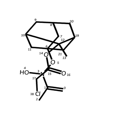 C=C(C)N(O)OC12CC3CC(C1)C(C)(OC(=O)CCl)C(C3)C2